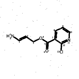 NC=CCOC(=O)c1cccnc1Cl